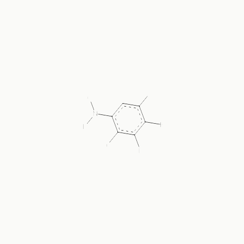 CCc1c(N(F)C(F)(F)F)cc(F)c(F)c1F